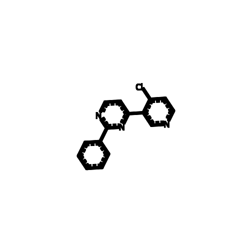 Clc1ccncc1-c1ccnc(-c2ccccc2)n1